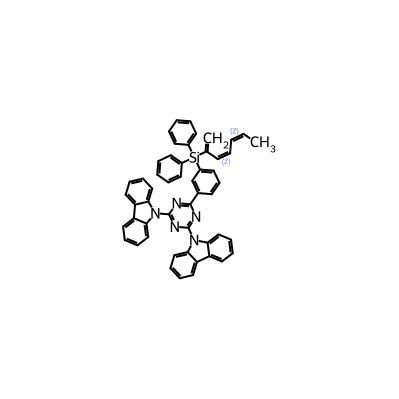 C=C(/C=C\C=C/C)[Si](c1ccccc1)(c1ccccc1)c1cccc(-c2nc(-n3c4ccccc4c4ccccc43)nc(-n3c4ccccc4c4ccccc43)n2)c1